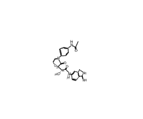 CC(=O)Nc1ccc(N2CCO[C@H]([C@@H](O)C(=O)Nc3ccc4c(c3)CNC4=N)C2=O)cc1